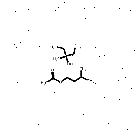 CC(=O)OCCC(C)C.CCC(C)(O)CC